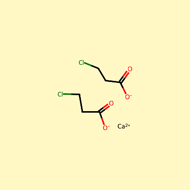 O=C([O-])CCCl.O=C([O-])CCCl.[Ca+2]